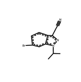 CC(C)n1nc(C#N)c2ccc(Br)cc21